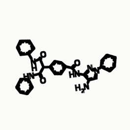 Nc1cn(-c2ccccc2)nc1NC(=O)c1ccc(C(C(=O)Nc2ccccc2)C(=O)Nc2ccccc2)cc1